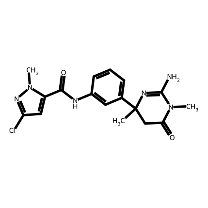 CN1C(=O)CC(C)(c2cccc(NC(=O)c3cc(Cl)nn3C)c2)N=C1N